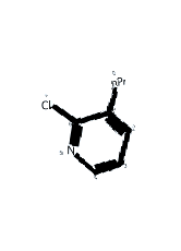 CCCc1cccnc1Cl